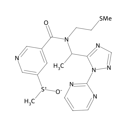 CSCCN(C(=O)c1cncc([S+](C)[O-])c1)C(C)c1ncnn1-c1ncccn1